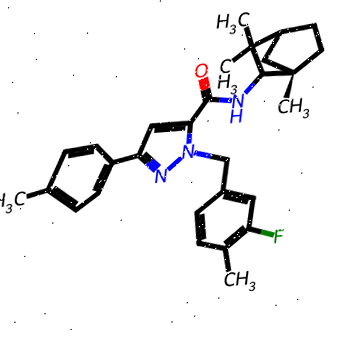 Cc1ccc(-c2cc(C(=O)NC3C(C)(C)C4CC[C@@]3(C)C4)n(Cc3ccc(C)c(F)c3)n2)cc1